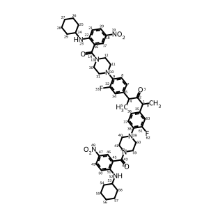 CC(C(=O)C(C)c1ccc(N2CCN(C(=O)c3cc([N+](=O)[O-])ccc3NC3CCCCC3)CC2)c(F)c1)c1ccc(N2CCN(C(=O)c3cc([N+](=O)[O-])ccc3NC3CCCCC3)CC2)c(F)c1